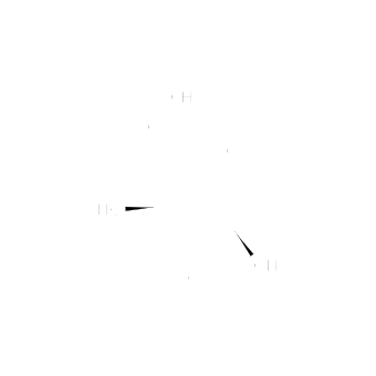 COC1OC[C@@H](O)C(O)[C@H]1O